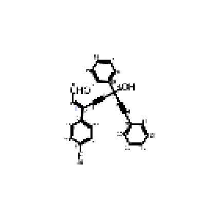 O=C/C=C(\C#CC(O)(C#Cc1ccccc1)c1ccccc1)c1ccc(F)cc1